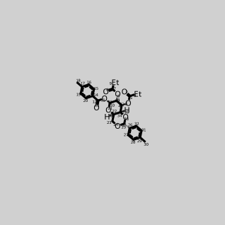 CCC(=O)O[C@@H]1[C@@H](OC(=O)CC)[C@H](OC(=O)c2ccc(C)cc2)O[C@@H]2CO[C@@H](c3ccc(C)cc3)O[C@@H]12